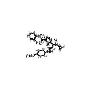 O=C(Nc1ccncc1F)c1cnc2c(NC3CC3)cc(N[C@H]3CC[C@H](O)CC3)nn12